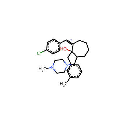 Cc1cccc(CC2(O)/C(=C\c3ccc(Cl)cc3)CCCCC2CN2CCN(C)CC2)c1